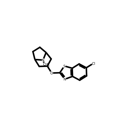 CN1C2CCC1CC(Oc1nc3ccc(Cl)cc3s1)C2